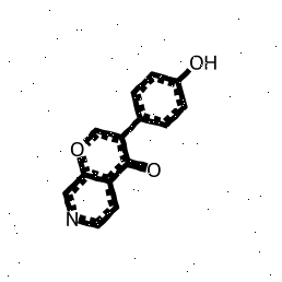 O=c1c(-c2ccc(O)cc2)coc2cnccc12